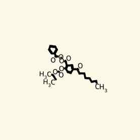 CCCCCCCC(=O)c1ccc(OC(=O)OC(C)CC)c(C(=O)OOC(=O)c2ccccc2)c1